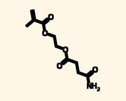 C=C(C)C(=O)OCCOC(=O)CCC(N)=O